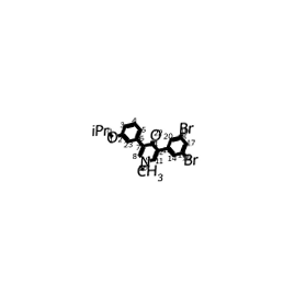 CC(C)Oc1cccc(-c2cn(C)cc(-c3cc(Br)cc(Br)c3)c2=O)c1